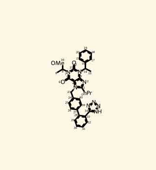 CCCc1nc2c(c(=O)n(C(C)OC)c(=O)n2C(C)c2ccccc2)n1Cc1ccc(-c2ccccc2-c2nnn[nH]2)cc1